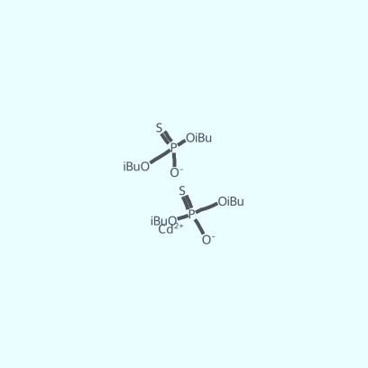 CC(C)COP([O-])(=S)OCC(C)C.CC(C)COP([O-])(=S)OCC(C)C.[Cd+2]